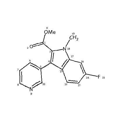 COC(=O)c1c(-c2cccnc2)c2ccc(F)cc2n1C